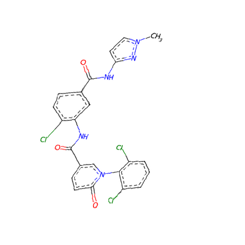 Cn1ccc(NC(=O)c2ccc(Cl)c(NC(=O)c3ccc(=O)n(-c4c(Cl)cccc4Cl)c3)c2)n1